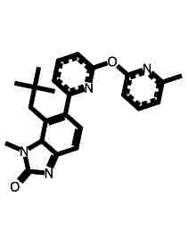 Cc1cccc(Oc2cccc(C3=C(CC(C)(C)C)C4C(=NC(=O)N4C)C=C3)n2)n1